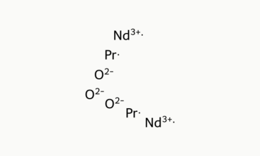 [Nd+3].[Nd+3].[O-2].[O-2].[O-2].[Pr].[Pr]